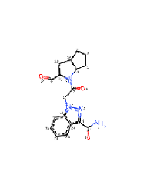 NC(=O)c1nn(CC(=O)N2C(C=O)CC3CCCC32)c2ccccc12